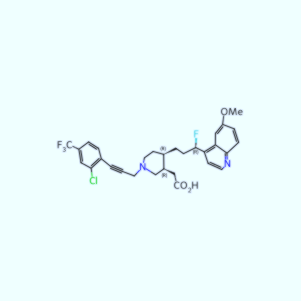 COc1ccc2nccc([C@H](F)CC[C@@H]3CCN(CC#Cc4ccc(C(F)(F)F)cc4Cl)C[C@@H]3CC(=O)O)c2c1